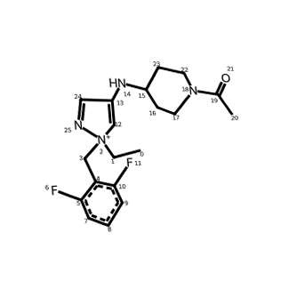 CC[N+]1(Cc2c(F)cccc2F)C=C(NC2CCN(C(C)=O)CC2)C=N1